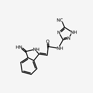 N#Cc1nc(NC(=O)C=C2NC(=N)c3ccccc32)n[nH]1